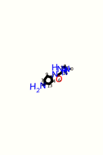 Cn1cnc(C(=O)NC2CCC(N)CC2)n1